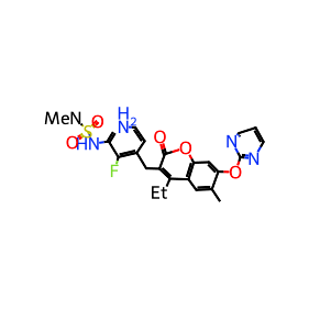 C=C(NS(=O)(=O)NC)/C(F)=C(\C=C/N)Cc1c(CC)c2cc(C)c(Oc3ncccn3)cc2oc1=O